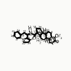 CN1C(=O)CC[C@@]2(C)C1=CC[C@@H]1[C@H]2CC[C@]2(C)C(C(=O)NC(Cc3ccccc3)c3cccs3)CC[C@@H]12